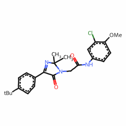 COc1ccc(NC(=O)CN2C(=O)C(c3ccc(C(C)(C)C)cc3)=NC2(C)C)cc1Cl